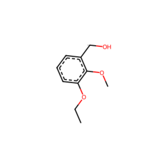 CCOc1cccc([CH]O)c1OC